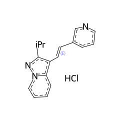 CC(C)c1nn2ccccc2c1/C=C/c1cccnc1.Cl